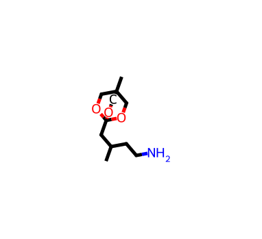 CC(CCN)CC12OCC(C)(CO1)CO2